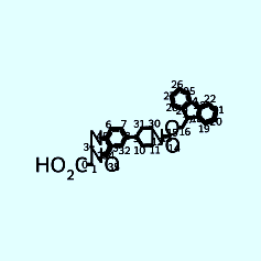 O=C(O)Cn1cnc2ccc(C3CCN(C(=O)OCC4c5ccccc5-c5ccccc54)CC3)cc2c1=O